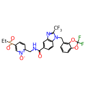 CCS(=O)(=O)c1ccc(CNC(=O)c2ccc3c(c2)nc(C(F)(F)F)n3Cc2cccc3c2OC(F)(F)O3)[n+]([O-])c1